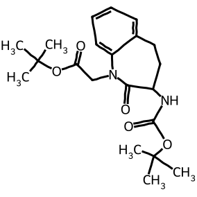 CC(C)(C)OC(=O)CN1C(=O)C(NC(=O)OC(C)(C)C)CCc2ccccc21